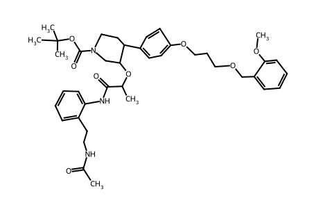 COc1ccccc1COCCCOc1ccc(C2CCN(C(=O)OC(C)(C)C)CC2OC(C)C(=O)Nc2ccccc2CCNC(C)=O)cc1